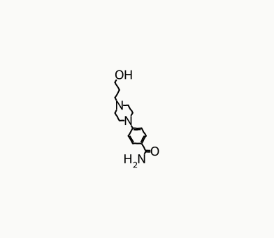 NC(=O)c1ccc(N2CCN(CCCO)CC2)cc1